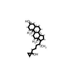 C[C@H](CCCC1(O)CC1)C1CCC2C3CCC4CC(O)CCC4(C)C3CCC21C